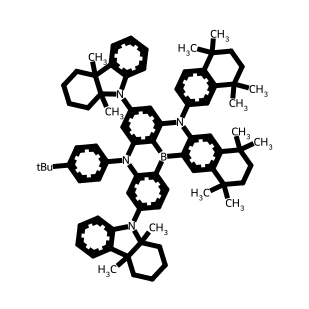 CC(C)(C)c1ccc(N2c3cc(N4c5ccccc5C5(C)CCCCC45C)ccc3B3c4cc5c(cc4N(c4ccc6c(c4)C(C)(C)CCC6(C)C)c4cc(N6c7ccccc7C7(C)CCCCC67C)cc2c43)C(C)(C)CCC5(C)C)cc1